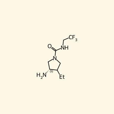 CCC1CN(C(=O)NCC(F)(F)F)C[C@H]1N